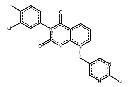 O=c1nc2n(Cc3cnc(Cl)nc3)cccc-2c(=O)n1-c1ccc(F)c(Cl)c1